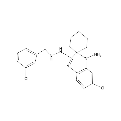 NN1c2cc(Cl)ccc2N=C(NNCc2cccc(Cl)c2)C12CCCCC2